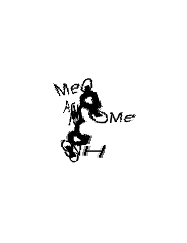 COc1ccc(OC)c(C2CC(c3ccc(NS(C)(=O)=O)cc3)=NN2C(C)=O)c1